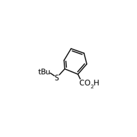 CC(C)(C)Sc1ccccc1C(=O)O